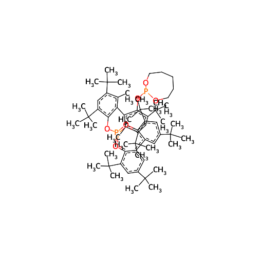 Cc1c(C(C)(C)C)cc(C(C)(C)C)c(OP2OCCCCCO2)c1-c1c(C)c(C(C)(C)C)cc(C(C)(C)C)c1Op1oc2c(C(C)(C)C)cc(C(C)(C)C)cc2c2cc(C(C)(C)C)cc(C(C)(C)C)c2o1